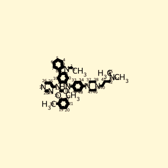 CCn1c2ccccc2c2cc(N(C(=O)Oc3c(C)cccc3C)c3ccncn3)c(Nc3ccc(N4CCN(CCCN(C)C)CC4)cc3)cc21